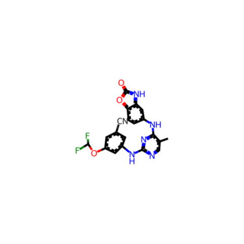 Cc1cnc(Nc2cc(C#N)cc(OC(F)F)c2)nc1Nc1ccc2oc(=O)[nH]c2c1